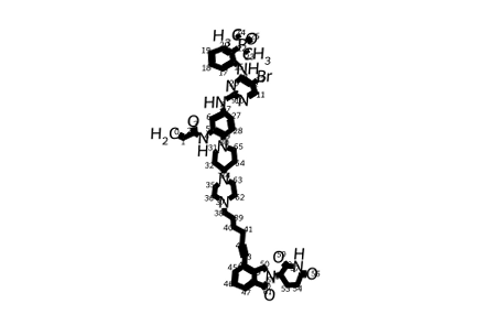 C=CC(=O)Nc1cc(Nc2ncc(Br)c(Nc3ccccc3P(C)(C)=O)n2)ccc1N1CCC(N2CCN(CCCCC#Cc3cccc4c3CN(C3CCC(=O)NC3=O)C4=O)CC2)CC1